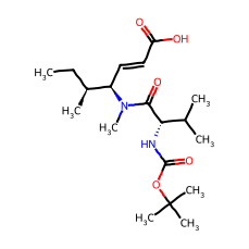 CC[C@H](C)[C@@H](/C=C/C(=O)O)N(C)C(=O)[C@@H](NC(=O)OC(C)(C)C)C(C)C